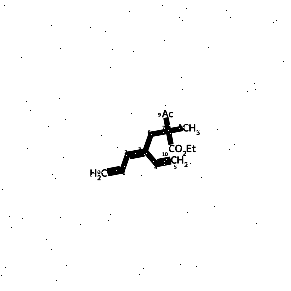 C=C/C=C(\C=C)CC(C)(C(C)=O)C(=O)OCC